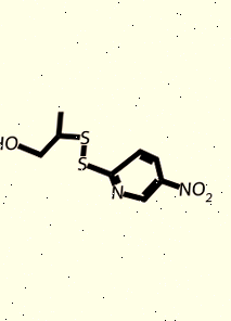 CC(CO)SSc1ccc([N+](=O)[O-])cn1